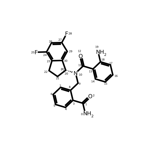 NC(=O)c1ccccc1CN(C(=O)c1ccccc1N)[C@@H]1CCc2c(F)cc(F)cc21